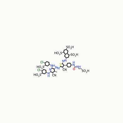 Cc1c(C#N)c(Nc2ccc(Cl)c(S(=O)(=O)O)c2)nc(Nc2ccc(Cl)c(S(=O)(=O)O)c2)c1N=Nc1sc(N=Nc2cc(S(=O)(=O)O)c3cc(S(=O)(=O)O)cc(S(=O)(=O)O)c3c2)c(-c2ccc(NC(=O)NCCS(=O)(=O)O)cc2)c1C#N